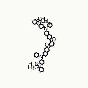 C[Si]1(C)c2ccccc2-c2ccc(N(c3ccccc3)c3ccc4cc5c(cc4c3)oc3c5ccc4oc5cc6cc(N(c7ccccc7)c7ccc8c(c7)[Si](C)(C)c7ccccc7-8)ccc6cc5c43)cc21